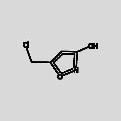 Oc1cc(CCl)on1